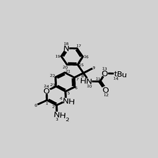 CC1=C(N)Nc2cc(C(C)(NC(=O)OC(C)(C)C)c3ccncc3)ccc2O1